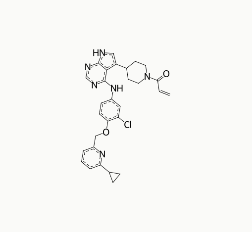 C=CC(=O)N1CCC(c2c[nH]c3ncnc(Nc4ccc(OCc5cccc(C6CC6)n5)c(Cl)c4)c23)CC1